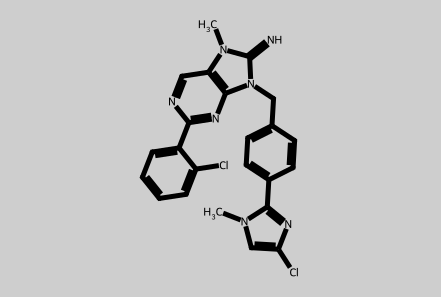 Cn1cc(Cl)nc1-c1ccc(Cn2c(=N)n(C)c3cnc(-c4ccccc4Cl)nc32)cc1